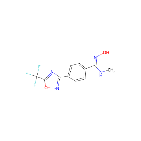 CN/C(=N\O)c1ccc(-c2noc(C(F)(F)F)n2)cc1